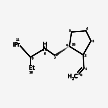 C=CC1CCC[C@H]1CNC(CC)C(C)C